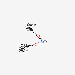 CCN(CCOCCCCCC[Si](C)(OC)OC)CCOCCCCCC[Si](C)(OC)OC